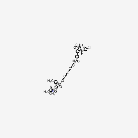 CC(=O)N1c2ccc(-c3ccc(C(=O)NCCOCCOCCOCCOCCOCCNC(=O)C4CN(C(=O)/C(C#N)=C/C(C)(C)C)CC4c4cccc(C)c4)cc3)cc2[C@H](Nc2ccc(Cl)cc2)C[C@@H]1C